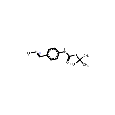 C/N=C/c1ccc(NC(=O)OC(C)(C)C)cc1